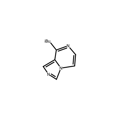 CCC(C)c1nccn2cncc12